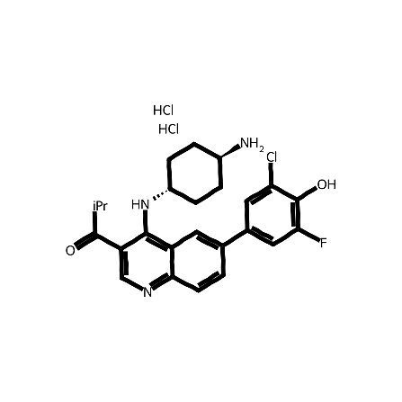 CC(C)C(=O)c1cnc2ccc(-c3cc(F)c(O)c(Cl)c3)cc2c1N[C@H]1CC[C@H](N)CC1.Cl.Cl